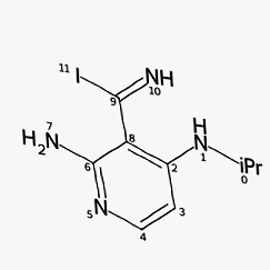 CC(C)Nc1ccnc(N)c1C(=N)I